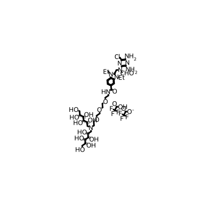 CCn1c(CN(C=O)c2nc(Cl)c(N)nc2N)[n+](CC)c2ccc(C(=O)NCCOCCOCCOCCN(C[C@H](O)[C@@H](O)[C@H](O)[C@H](O)CO)C[C@H](O)[C@@H](O)[C@H](O)[C@H](O)CO)cc21.O=C(O)C(F)(F)F.O=C([O-])C(F)(F)F